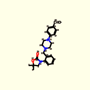 CC1(C)CN(c2ccccc2CN2CCN(c3ccc([C]=O)cc3)CC2)C(=O)O1